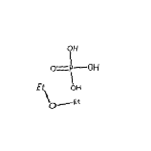 CCOCC.O=P(O)(O)O